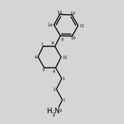 NCCCC1CCCC(c2ccccc2)C1